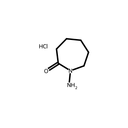 Cl.NN1CCCCCC1=O